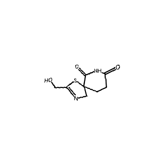 O=C1CCC2(CN=C(CO)S2)C(=O)N1